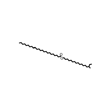 CCCCCCCCC=CCCCCCCCCCCCCCC(=O)OCCCCCCCCCCCCCCC(C)CC